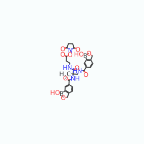 C[C@](CNC(=O)c1ccc2c(c1)B(O)OC2)(NC(=O)c1ccc2c(c1)B(O)OC2)C(=O)NCCC(=O)ON1C(=O)CCC1=O